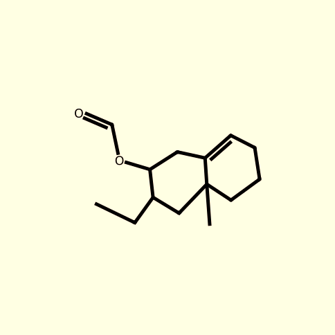 CCC1CC2(C)CCCC=C2CC1OC=O